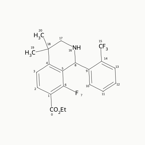 CCOC(=O)c1ccc2c(c1F)C(c1ccccc1C(F)(F)F)NCC2(C)C